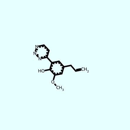 C=CCc1cc(OC)c(O)c(-c2ccnnn2)c1